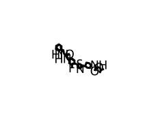 CC(C)OC(=O)NC1CCC(c2ncc(-c3ccc(NC(=O)NCc4ccccn4)cc3F)s2)CC1